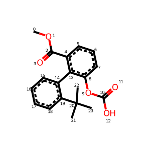 COC(=O)c1cccc(OC(=O)O)c1-c1ccccc1C(C)(C)C